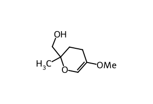 COC1=COC(C)(CO)CC1